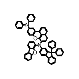 C1=CCC(N(c2ccccc2)c2ccc3c(c2)C2=CC=CC4CC=C(N(c5ccc6c(c5)C(c5ccccc5)(c5ccccc5)c5ccccc5-6)c5cccc6c5oc5ccccc56)C(=C24)O3)C=C1